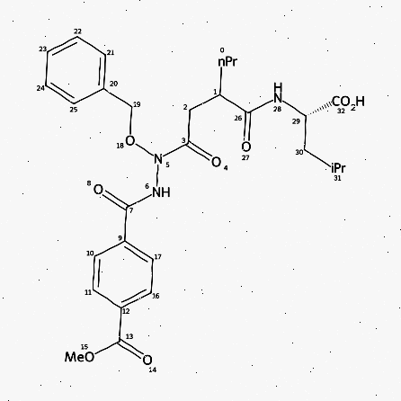 CCCC(CC(=O)N(NC(=O)c1ccc(C(=O)OC)cc1)OCc1ccccc1)C(=O)N[C@@H](CC(C)C)C(=O)O